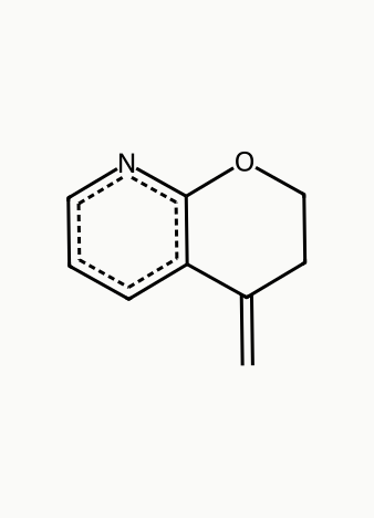 C=C1CCOc2ncccc21